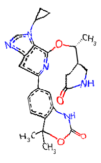 C[C@@H](Oc1nc(-c2ccc3c(c2)NC(=O)OC3(C)C)cc2ncn(C3CC3)c12)[C@H]1CNC(=O)C1